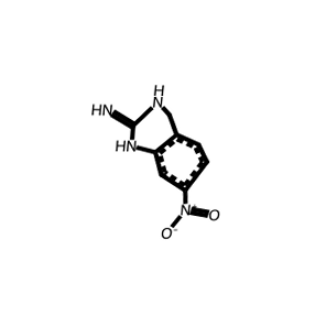 N=C1NCc2ccc([N+](=O)[O-])cc2N1